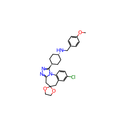 COc1ccc(CN[C@H]2CC[C@H](c3nnc4n3-c3ccc(Cl)cc3CC3(C4)OCCO3)CC2)cc1